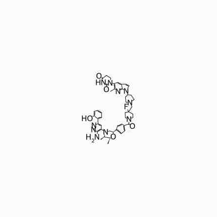 Cc1nc2c(ccn2C2CCN(CC3(F)CCN(C(=O)c4ccc([C@@H]5CN(c6cc(-c7ccccc7O)nnc6N)[C@H](C)[C@H](C)O5)cc4)CC3)CC2)cc1N1CCC(=O)NC1=O